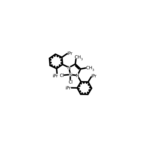 CC1=C(C)N(c2c(C(C)C)cccc2C(C)C)[Si](Cl)(Cl)N1c1c(C(C)C)cccc1C(C)C